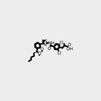 CCCCC[C@H](OC)c1cccc(-c2csc(NC(=O)c3cc(Cl)c(/C=C(\C)C(=O)O)c(Cl)c3)n2)c1OC